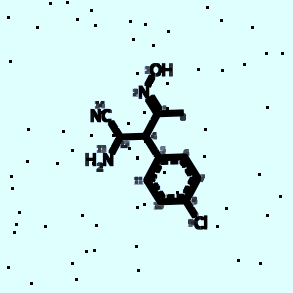 C/C(=N\O)C(c1ccc(Cl)cc1)C(N)C#N